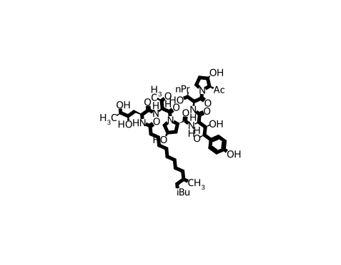 CCC[C@@H](O)[C@H](NC(=O)[C@@H](NC(=O)[C@@H]1C[C@@H](O)CN1C(=O)[C@@H](NC(=O)[C@H](C[C@@H](O)[C@H](C)O)NC(=O)CCCCCCCCC(C)CC(C)CC)[C@@H](C)O)[C@H](O)[C@@H](O)c1ccc(O)cc1)C(=O)N1CC[C@H](O)[C@H]1C(C)=O